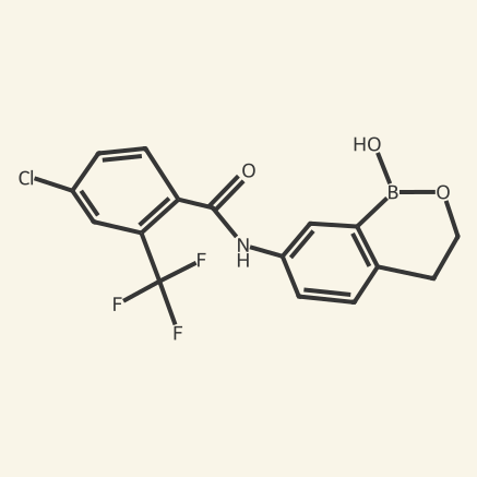 O=C(Nc1ccc2c(c1)B(O)OCC2)c1ccc(Cl)cc1C(F)(F)F